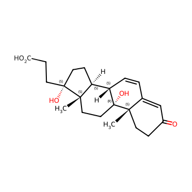 C[C@]12CCC(=O)C=C1C=C[C@H]1[C@@H]3CC[C@](O)(CCC(=O)O)[C@@]3(C)CC[C@@]12O